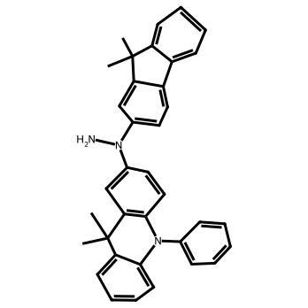 CC1(C)c2ccccc2-c2ccc(N(N)c3ccc4c(c3)C(C)(C)c3ccccc3N4c3ccccc3)cc21